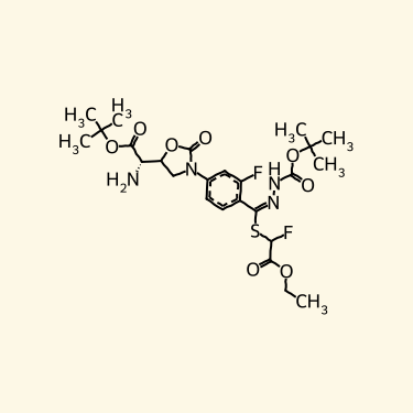 CCOC(=O)C(F)S/C(=N/NC(=O)OC(C)(C)C)c1ccc(N2CC([C@H](N)C(=O)OC(C)(C)C)OC2=O)cc1F